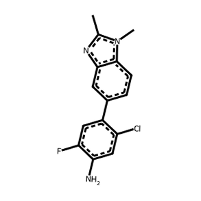 Cc1nc2cc(-c3cc(F)c(N)cc3Cl)ccc2n1C